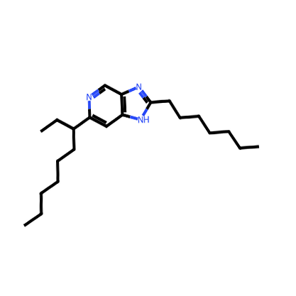 CCCCCCCc1nc2cnc(C(CC)CCCCCC)cc2[nH]1